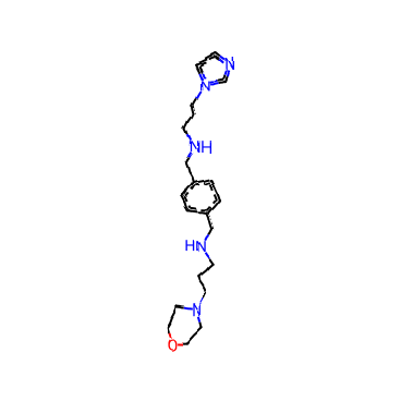 c1cn(CCCNCc2ccc(CNCCCN3CCOCC3)cc2)cn1